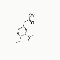 CCc1ccc(CC(=O)O)cc1N(C)C